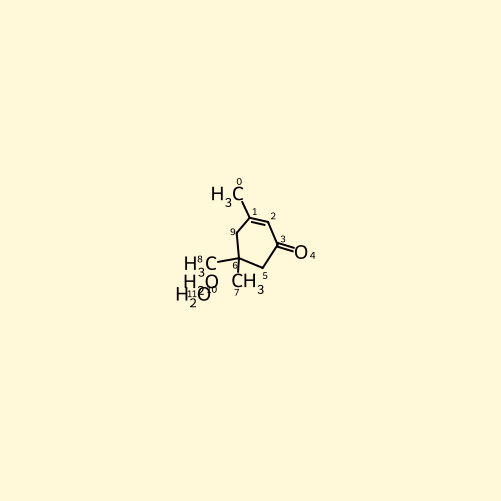 CC1=CC(=O)CC(C)(C)C1.O.O